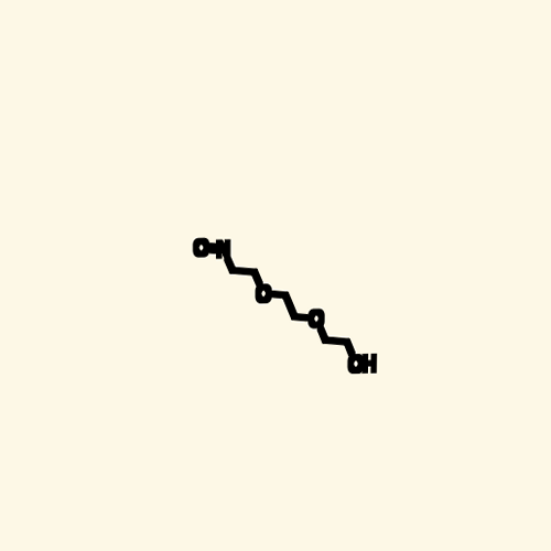 O=NCCOCCOCCO